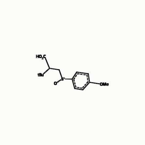 COc1ccc([S+]([O-])CC(C(=O)O)C(C)(C)C)cc1